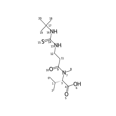 CC(C)[C@@H](C(=O)O)N(C)C(=O)CCNC(=S)NC(C)(C)C